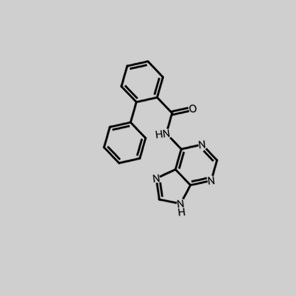 O=C(Nc1ncnc2[nH]cnc12)c1ccccc1-c1ccccc1